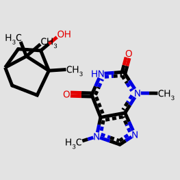 CC1(C)C2CCC1(C)C(O)C2.Cn1cnc2c1c(=O)[nH]c(=O)n2C